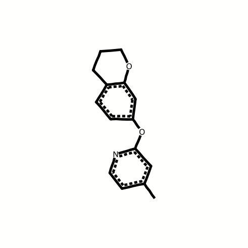 Cc1ccnc(Oc2ccc3c(c2)OCCC3)c1